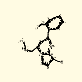 CCCNc1cc(-c2ccccc2F)nc2c(Br)cnn12